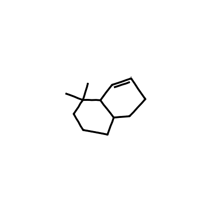 CC1(C)CCCC2CC[C]=CC21